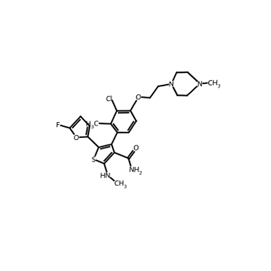 CNc1sc(-c2ccc(F)o2)c(-c2ccc(OCCN3CCN(C)CC3)c(Cl)c2C)c1C(N)=O